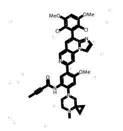 CC#CC(=O)Nc1cc(-c2cc3c(cn2)cc(-c2c(Cl)c(OC)cc(OC)c2Cl)c2nccn23)c(OC)cc1N1CCN(C)C2(CC2)C1